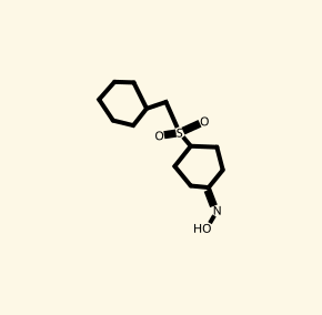 O=S(=O)(CC1CCCCC1)C1CCC(=NO)CC1